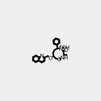 CC1NOCC(OCc2ccc3ccccc3n2)CCC(c2ccccc2)[N+](C)(O)C1=O